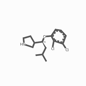 CC(C)C[C@H](Oc1cccc(Cl)c1Cl)C1CCNC1